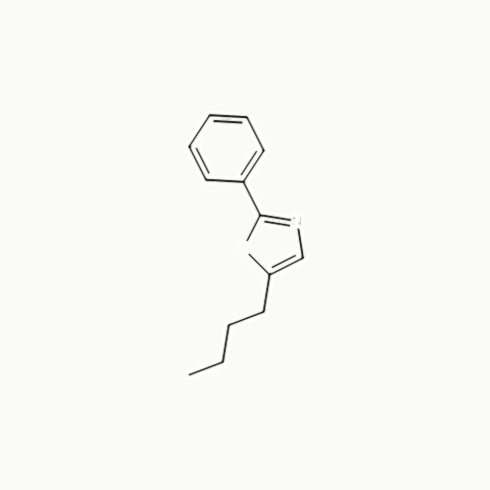 CCCCc1cnc(-c2ccccc2)s1